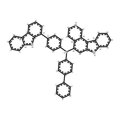 c1ccc(-c2ccc(N(c3ccc(-c4cccc5c4oc4ccccc45)cc3)c3cc4oc5ccccc5c4c4cnccc34)cc2)cc1